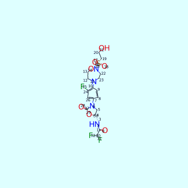 O=C(NC[C@H]1CN(c2ccc(N3CCON(S(=O)(=O)CCO)CC3)c(F)c2)C(=O)O1)C(F)F